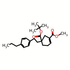 CCCc1ccc(CCC2(C(=O)OC(C)(C)C)CCC=C(C(=O)OC)C2)cc1